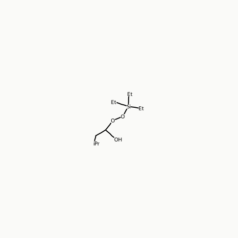 CC[Si](CC)(CC)OOC(O)CC(C)C